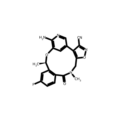 C[C@H]1Oc2cc(cnc2N)-c2c(C#N)noc2CN(C)C(=O)c2ccc(F)cc21